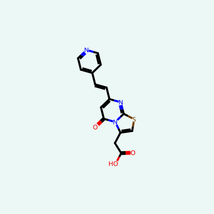 O=C(O)Cc1csc2nc(/C=C/c3ccncc3)cc(=O)n12